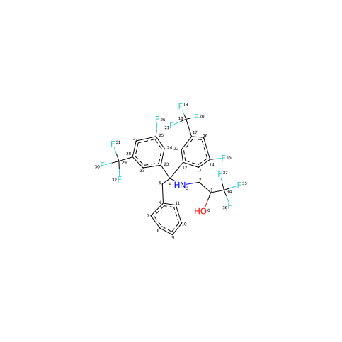 OC(CNC(Cc1ccccc1)(c1cc(F)cc(C(F)(F)F)c1)c1cc(F)cc(C(F)(F)F)c1)C(F)(F)F